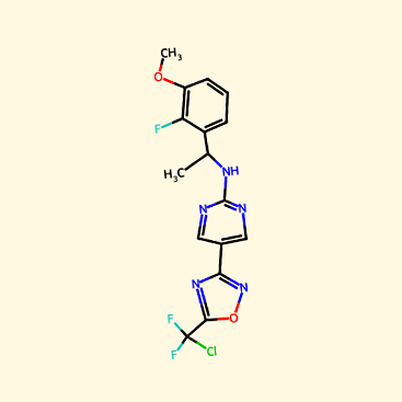 COc1cccc(C(C)Nc2ncc(-c3noc(C(F)(F)Cl)n3)cn2)c1F